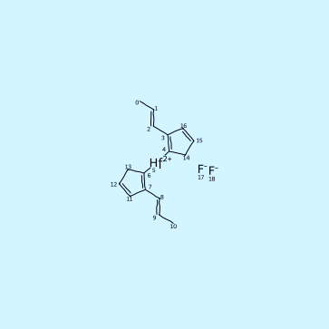 CC=CC1=[C]([Hf+2][C]2=C(C=CC)C=CC2)CC=C1.[F-].[F-]